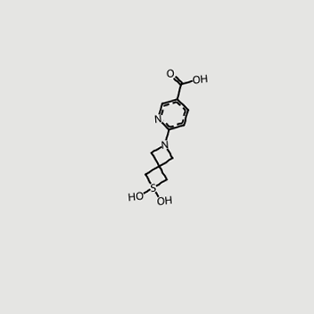 O=C(O)c1ccc(N2CC3(C2)CS(O)(O)C3)nc1